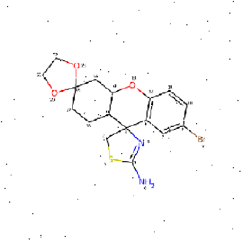 NC1=NC2(CS1)c1cc(Br)ccc1OC1CC3(CCC12)OCCO3